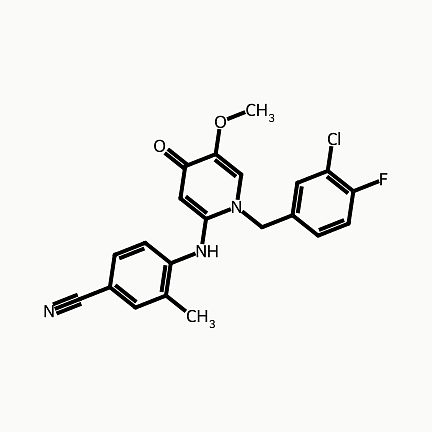 COc1cn(Cc2ccc(F)c(Cl)c2)c(Nc2ccc(C#N)cc2C)cc1=O